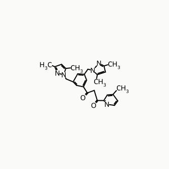 Cc1ccnc(C(=O)CC(=O)c2cc(Cn3nc(C)cc3C)cc(Cn3nc(C)cc3C)c2)c1